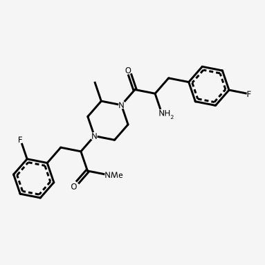 CNC(=O)C(Cc1ccccc1F)N1CCN(C(=O)C(N)Cc2ccc(F)cc2)C(C)C1